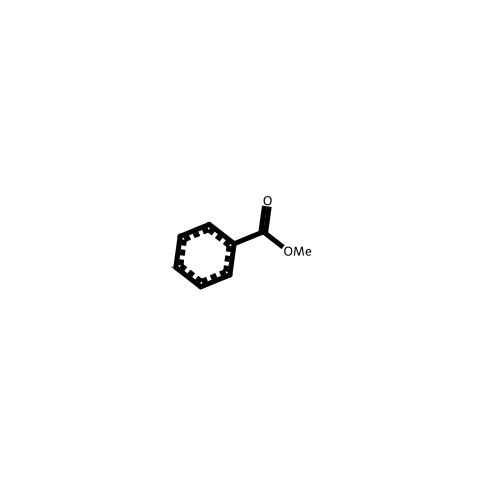 COC(=O)c1cc[c]cc1